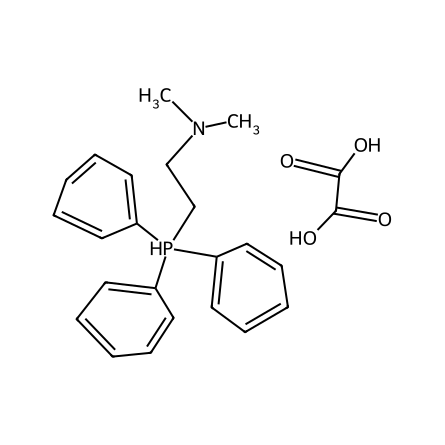 CN(C)CC[PH](c1ccccc1)(c1ccccc1)c1ccccc1.O=C(O)C(=O)O